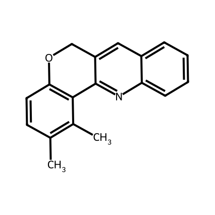 Cc1ccc2c(c1C)-c1nc3ccccc3cc1CO2